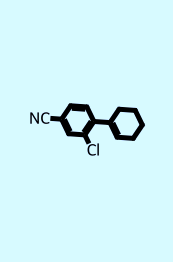 N#Cc1ccc(C2=CCCCC2)c(Cl)c1